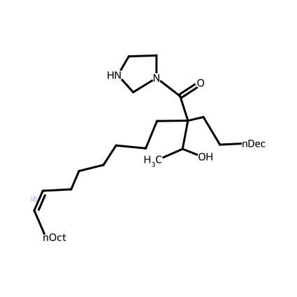 CCCCCCCC/C=C\CCCCCCC(CCCCCCCCCCCC)(C(=O)N1CCNC1)C(C)O